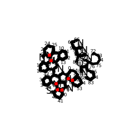 C1=C(c2nc(-c3nncc4ccccc34)c(-c3cccc4nc5ccccc5nc34)c(-c3cccc4c3Nc3ccccc3S4)c2-c2cccc3nc4ccccc4nc23)CCCCC1.c1cnc2nc(N3CCCCCC3(c3ccn4ccccc34)C3OCCO3)ccc2c1